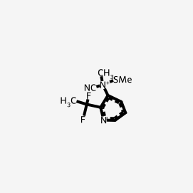 C[SH-][N+](C)(C#N)c1cccnc1C(C)(F)F